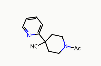 CC(=O)N1CCC(C#N)(c2ccccn2)CC1